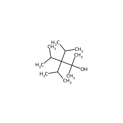 CC(C)C(C(C)C)(C(C)C)C(C)(C)O